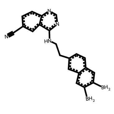 Bc1cc2ccc(CCNc3ncnc4ccc(C#N)cc34)cc2cc1B